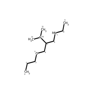 CCCOCC(CNCC)N(C)C